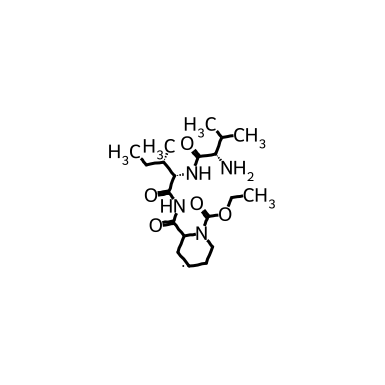 CCOC(=O)N1CC[CH]CC1C(=O)NC(=O)[C@@H](NC(=O)[C@@H](N)C(C)C)[C@@H](C)CC